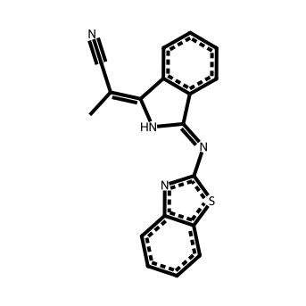 C/C(C#N)=C1\N/C(=N\c2nc3ccccc3s2)c2ccccc21